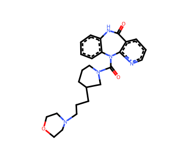 O=C1Nc2ccccc2N(C(=O)N2CCCC(CCCN3CCOCC3)C2)c2ncccc21